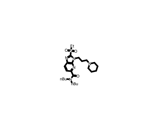 CCCCN(CCCC)C(=O)c1ccc2nc(S(=O)(=O)CC)n(CCCN3CCCCC3)c2n1